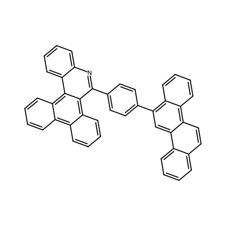 c1ccc2c(c1)ccc1c3ccccc3c(-c3ccc(-c4nc5ccccc5c5c6ccccc6c6ccccc6c45)cc3)cc21